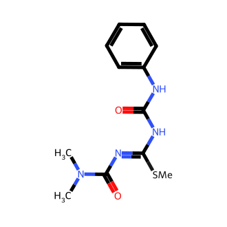 CSC(=NC(=O)N(C)C)NC(=O)Nc1ccccc1